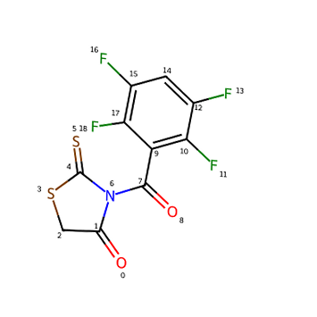 O=C1CSC(=S)N1C(=O)c1c(F)c(F)cc(F)c1F